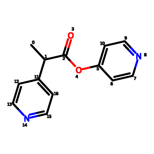 CC(C(=O)Oc1ccncc1)c1ccncc1